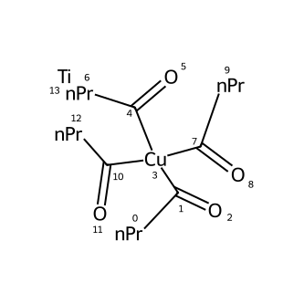 CCC[C](=O)[Cu]([C](=O)CCC)([C](=O)CCC)[C](=O)CCC.[Ti]